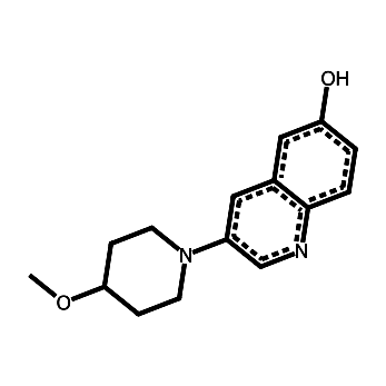 COC1CCN(c2cnc3ccc(O)cc3c2)CC1